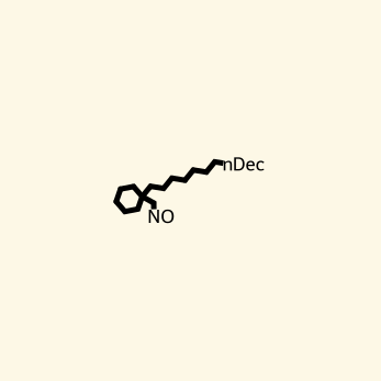 CCCCCCCCCCCCCCCCCC1(CN=O)CCCCC1